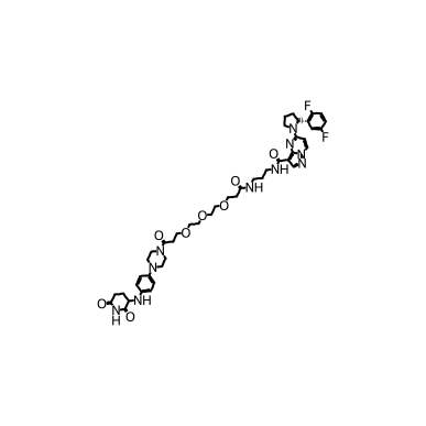 O=C(CCOCCOCCOCCC(=O)N1CCN(c2ccc(NC3CCC(=O)NC3=O)cc2)CC1)NCCCNC(=O)c1cnn2ccc(N3CCC[C@@H]3c3cc(F)ccc3F)nc12